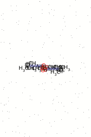 CC1=C(/C=C/C(C)=C/C=C/C(C)=C/C(=O)OS(=O)(=O)OC(=O)/C=C(C)/C=C/C=C(C)/C=C/C2=C(C)CCCC2(C)C)C(C)(C)CCC1